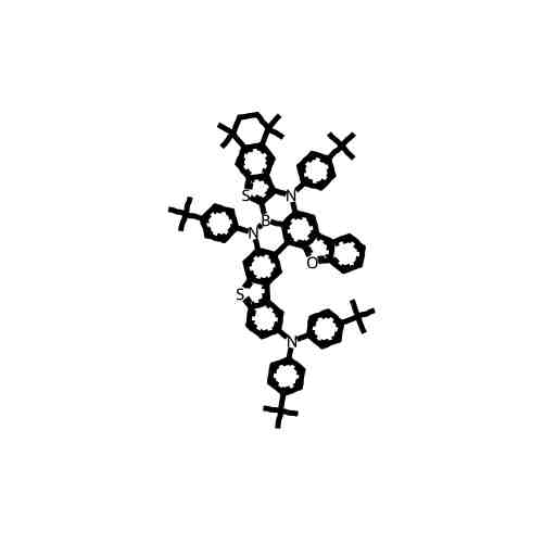 CC(C)(C)c1ccc(N2B3c4sc5cc6c(cc5c4N(c4ccc(C(C)(C)C)cc4)c4cc5c(oc7ccccc75)c(c43)-c3cc4c(cc32)sc2ccc(N(c3ccc(C(C)(C)C)cc3)c3ccc(C(C)(C)C)cc3)cc24)C(C)(C)CCC6(C)C)cc1